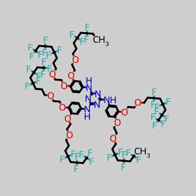 CCC(F)(F)CC(F)(F)CCCOCCOc1cc(Nc2nc(Nc3ccc(OCCOCCCC(F)(F)CC(F)(F)CC(F)(F)F)c(OCCOCCCC(F)(F)CC(F)(F)CC(F)(F)F)c3)nc(Nc3ccc(OCCOCCC(F)(F)CC(F)(F)CC(C)(F)F)c(OCCOCCC(F)(F)CC(F)(F)CC(F)(F)C(F)(F)F)c3)n2)ccc1OCCOCCCC(F)(F)CC(F)(F)CC(F)(F)F